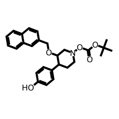 CC(C)(C)OC(=O)ON1CCC(c2ccc(O)cc2)C(OCc2ccc3ccccc3c2)C1